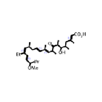 CCC(=C/C(C)C/C=C/C(C)=C/C(C)C(=O)C(C)C(O)C(C)C/C(C)=C/C(=O)O)/C=C/C(OC)C(C)C